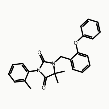 Cc1ccccc1N1C(=O)N(Cc2ccccc2Oc2ccccc2)C(C)(C)C1=O